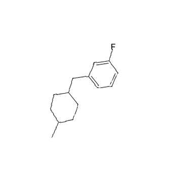 CC1CCC(Cc2cccc(F)c2)CC1